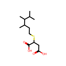 CC(C)C(C)C(C)CCSC(CC(=O)O)C(=O)O